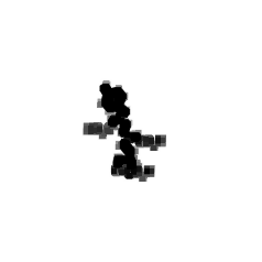 Cc1ccc(CN(CCN(CCN(CC(=O)O)CC(=O)O)CC(=O)O)CC(=O)O)cc1